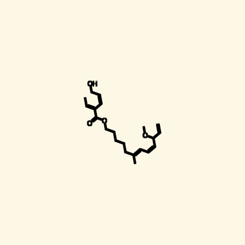 C=CC(/C=C\C=C(/C)CCCCCOC(=O)C(/C=C\CO)=C/C)OC